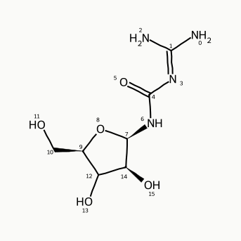 NC(N)=NC(=O)N[C@@H]1O[C@H](CO)C(O)[C@@H]1O